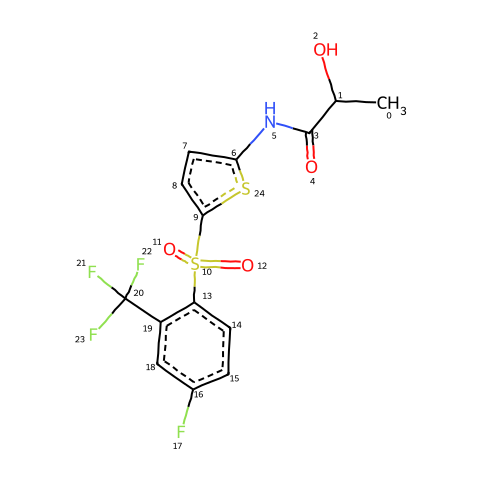 CC(O)C(=O)Nc1ccc(S(=O)(=O)c2ccc(F)cc2C(F)(F)F)s1